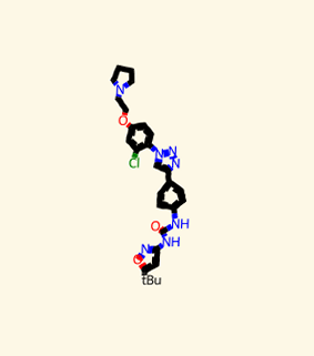 CC(C)(C)c1cc(NC(=O)Nc2ccc(-c3cn(-c4ccc(OCCN5CCCC5)cc4Cl)nn3)cc2)no1